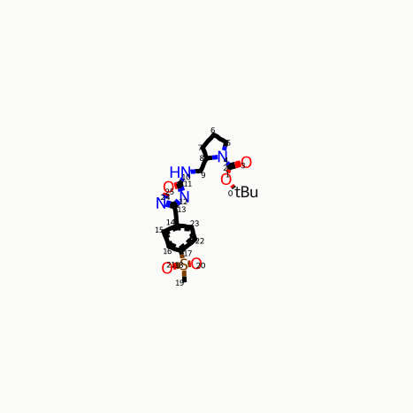 CC(C)(C)OC(=O)N1CCCC1CNc1nc(-c2ccc(S(C)(=O)=O)cc2)no1